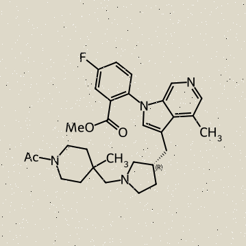 COC(=O)c1cc(F)ccc1-n1cc(C[C@@H]2CCN(CC3(C)CCN(C(C)=O)CC3)C2)c2c(C)cncc21